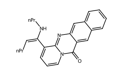 CCC/C=C(/NCCC)c1cccn2c(=O)c3cc4ccccc4cc3nc12